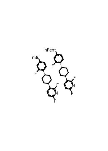 CCCCCc1ccc([C@H]2CC[C@H](c3ccc(F)nc3F)CC2)c(F)c1.CCCCc1ccc([C@H]2CC[C@H](c3ccc(F)nc3F)CC2)c(F)c1